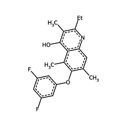 CCc1nc2cc(C)c(Oc3cc(F)cc(F)c3)c(C)c2c(O)c1C